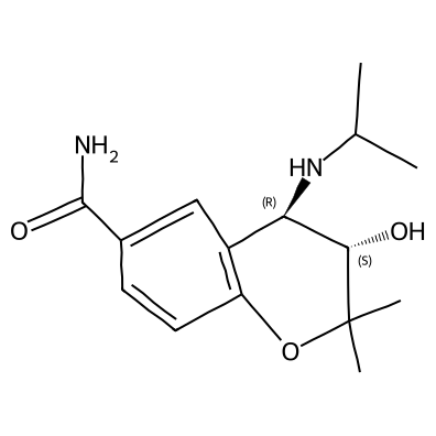 CC(C)N[C@@H]1c2cc(C(N)=O)ccc2OC(C)(C)[C@H]1O